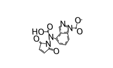 COC(=O)n1ncc2c(N(C(=O)O)N3C(=O)C=CC3=O)cccc21